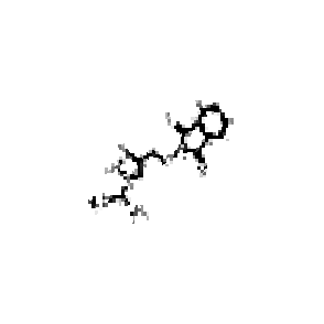 CC(C)n1cc(CON2C(=O)c3ccccc3C2=O)nn1